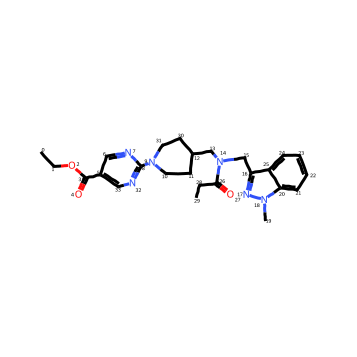 CCOC(=O)c1cnc(N2CCC(CN(Cc3nn(C)c4ccccc34)C(=O)CC)CC2)nc1